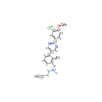 CCc1c(CN(C)CCC(=O)O)cccc1-c1cnc(-c2ccc(OC(C)C)c(Cl)c2)nc1